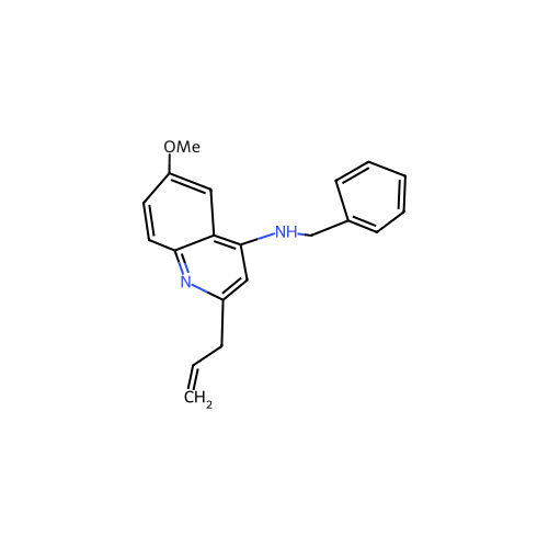 C=CCc1cc(NCc2ccccc2)c2cc(OC)ccc2n1